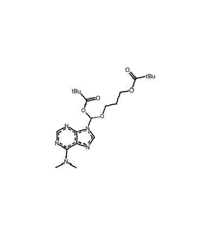 CN(C)c1ncnc2c1ncn2C(OCCCOC(=O)C(C)(C)C)OC(=O)C(C)(C)C